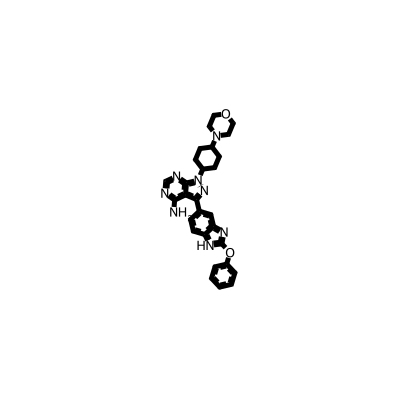 Nc1ncnc2c1c(-c1ccc3[nH]c(Oc4ccccc4)nc3c1)nn2C1CCC(N2CCOCC2)CC1